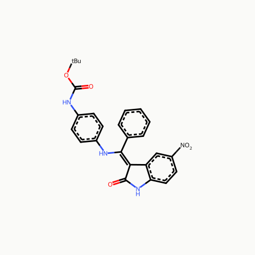 CC(C)(C)OC(=O)Nc1ccc(N/C(=C2\C(=O)Nc3ccc([N+](=O)[O-])cc32)c2ccccc2)cc1